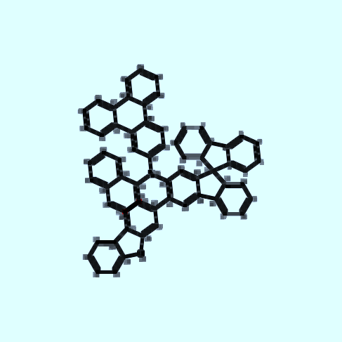 c1ccc2c(c1)-c1ccccc1C21c2ccccc2-c2cc(-c3ccc4c(c3)oc3ccccc34)c(N(c3ccc4c5ccccc5c5ccccc5c4c3)c3cccc4ccccc34)cc21